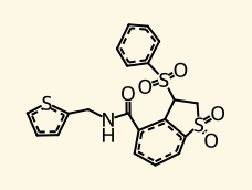 O=C(NCc1cccs1)c1cccc2c1C(S(=O)(=O)c1ccccc1)CS2(=O)=O